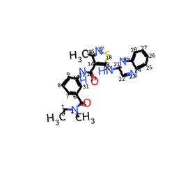 CCN(C)C(=O)c1cccc(NC(=O)c2c(C)nsc2Nc2cnc3ccccc3n2)c1